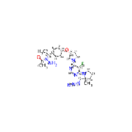 CC(=O)N(N)[C@@H](C)c1ccc(O[C@@H]2CCN(c3ncnc(N4CCCC4(C)CN=[N+]=[N-])c3F)C2)cc1